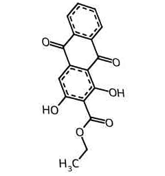 CCOC(=O)c1c(O)cc2c(c1O)C(=O)c1ccccc1C2=O